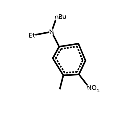 CCCCN(CC)c1ccc([N+](=O)[O-])c(C)c1